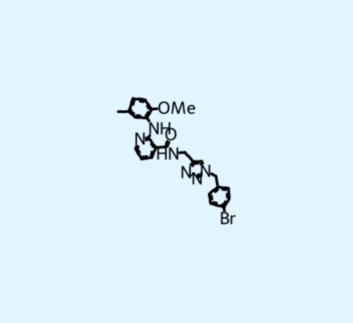 COc1ccc(C)cc1Nc1ncccc1C(=O)NCc1cn(Cc2ccc(Br)cc2)nn1